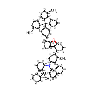 Cc1ccc2c(c1)C(c1ccccc1)(c1ccc(-c3cccc4c3oc3cccc(-c5ccc(N(c6cccc7c6C(C)(C)c6ccccc6-7)c6cccc7ccccc67)cc5C)c34)cc1)c1cc(C)ccc1-2